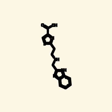 O=C(O)c1csc(CCNCc2nc3ccccc3[nH]2)n1